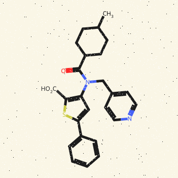 CC1CCC(C(=O)N(Cc2ccncc2)c2cc(-c3ccccc3)sc2C(=O)O)CC1